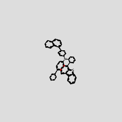 c1ccc(-c2ccc(N(c3ccc(-c4cccc5ccccc45)cc3)c3ccccc3-c3cccc4c3sc3ccccc34)cc2)cc1